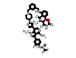 CN(C(=O)c1c(C=O)cccc1NCc1cccc(CN2CCC(n3cc(-c4cnc(N)c5c(-c6ccc(N[S+]([O-])C(F)F)c(F)c6)nn(C)c45)cn3)CC2)c1)C1CCC(=O)NC1=O